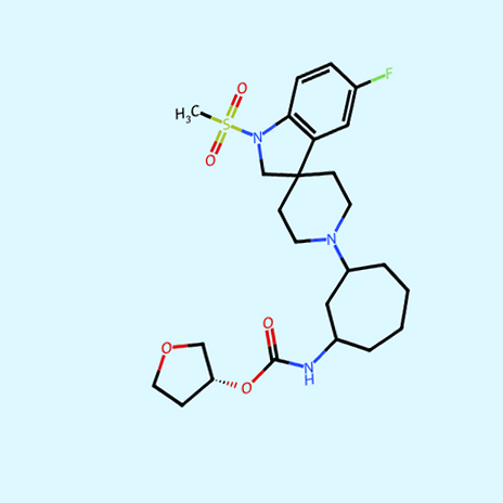 CS(=O)(=O)N1CC2(CCN(C3CCCCC(NC(=O)O[C@@H]4CCOC4)C3)CC2)c2cc(F)ccc21